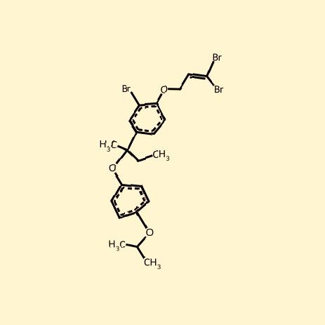 CCC(C)(Oc1ccc(OC(C)C)cc1)c1ccc(OCC=C(Br)Br)c(Br)c1